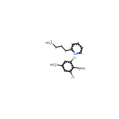 CC(=O)Nc1c(Cl)cc(C(=O)O)cc1Cl.O=C(O)CCCc1ccccn1